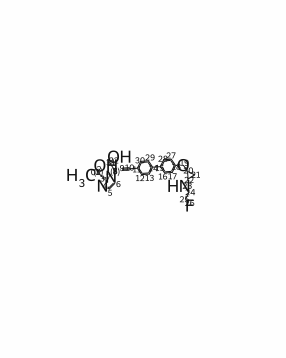 C[C@H](O)c1nccn1[C@@H](C#Cc1ccc(-c2ccc(OC3CC3NCCF)cc2)cc1)CO